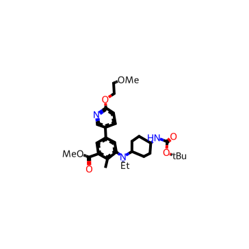 CCN(c1cc(-c2ccc(OCCOC)nc2)cc(C(=O)OC)c1C)C1CCC(NC(=O)OC(C)(C)C)CC1